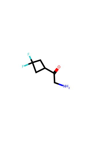 NCC(=O)C1CC(F)(F)C1